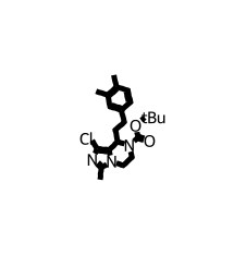 Cc1ccc(CCC2c3c(Cl)nc(C)n3CCN2C(=O)OC(C)(C)C)cc1C